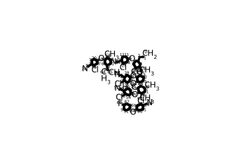 C=CCc1ccccc1Oc1ccc(C#N)c(Cl)c1.COc1cccc(Oc2ccc(C#N)c(Cl)c2)c1OC.Cc1cc(C)c(Oc2ccc(C#N)c(Cl)c2)c(C)c1.Cc1ccc(C(C)C)cc1Oc1ccc(C#N)c(Cl)c1.N#Cc1ccc(Oc2ccc(F)cc2)cc1Cl